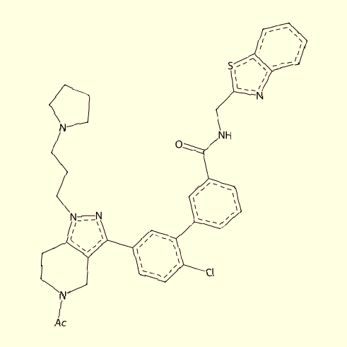 CC(=O)N1CCc2c(c(-c3ccc(Cl)c(-c4cccc(C(=O)NCc5nc6ccccc6s5)c4)c3)nn2CCCN2CCCC2)C1